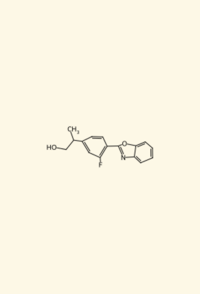 CC(CO)c1ccc(-c2nc3ccccc3o2)c(F)c1